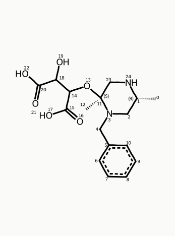 C[C@@H]1CN(Cc2ccccc2)[C@@](C)(OC(C(=O)O)C(O)C(=O)O)CN1